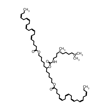 CC/C=C\C/C=C\C/C=C\C/C=C\C/C=C\CCCC(=O)OCCCCCC(CCCCCOC(=O)CCC/C=C\C/C=C\C/C=C\C/C=C\C/C=C\CC)OC(=O)NCCCN(C)CCCCN(C)C